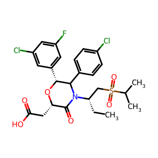 CC[C@@H](CS(=O)(=O)C(C)C)N1C(=O)[C@H](CC(=O)O)O[C@H](c2cc(F)cc(Cl)c2)C1c1ccc(Cl)cc1